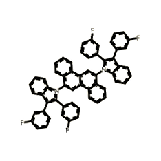 Fc1cccc(-c2c(-c3cccc(F)c3)n(-c3cc4c5ccccc5c(-n5c(-c6cccc(F)c6)c(-c6cccc(F)c6)c6ccccc65)cc4c4ccccc34)c3ccccc23)c1